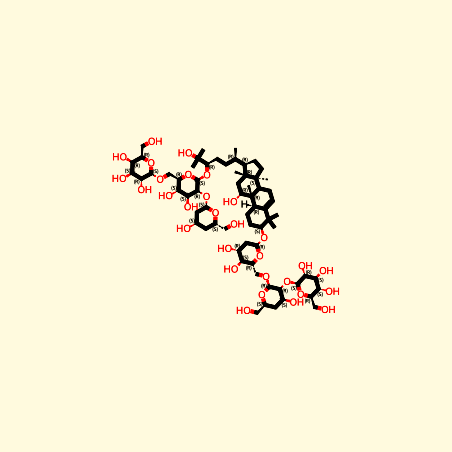 C[C@H](CC[C@@H](O[C@@H]1O[C@H](CO[C@H]2O[C@H](CO)[C@H](O)[C@H](O)[C@H]2O)[C@@H](O)[C@H](O)[C@H]1O[C@H]1C[C@@H](O)C[C@@H](CO)O1)C(C)(C)O)[C@H]1CC[C@@]2(C)C3CC=C4[C@@H](CC[C@H](O[C@H]5C[C@@H](O)[C@H](O)[C@@H](CO[C@@H]6O[C@H](CO)C[C@H](O)[C@H]6O[C@@H]6O[C@H](CO)[C@@H](O)[C@H](O)[C@H]6O)O5)C4(C)C)[C@]3(C)[C@H](O)C[C@]12C